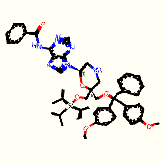 COc1ccc(C(OC[C@]2(CO[Si](C(C)C)(C(C)C)C(C)C)CNC[C@H](n3cnc4c(NC(=O)c5ccccc5)ncnc43)O2)(c2ccccc2)c2ccc(OC)cc2)cc1